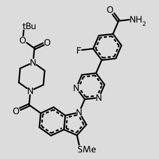 CSc1cn(-c2ncc(-c3ccc(C(N)=O)cc3F)cn2)c2cc(C(=O)N3CCN(C(=O)OC(C)(C)C)CC3)ccc12